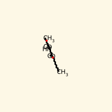 CCCCCCCCCCOC(=O)CCCNOC(=O)CCCCC